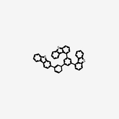 C1=CC(c2ccc3c(c2)sc2ccccc23)=CC(c2cc(-c3cccc4sc5ccccc5c34)cc(-c3cccc4sc5ccccc5c34)c2)C1